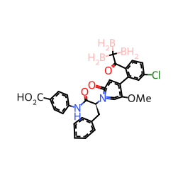 BC(B)(B)C(=O)c1ccc(Cl)cc1-c1cc(=O)n([C@@H](Cc2ccccc2)C(=O)Nc2ccc(C(=O)O)cc2)cc1OC